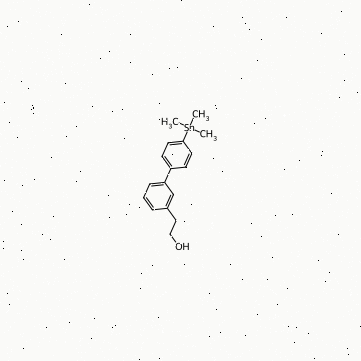 [CH3][Sn]([CH3])([CH3])[c]1ccc(-c2cccc(CCO)c2)cc1